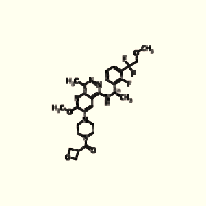 COCC(F)(F)c1cccc([C@@H](C)Nc2nnc(C)c3nc(OC)c(N4CCN(C(=O)C5COC5)CC4)cc23)c1F